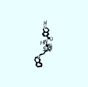 Cl.O=C(Nc1nnc(CCN2CCc3ccccc3C2)s1)c1ccc2c(c1)CCNC2